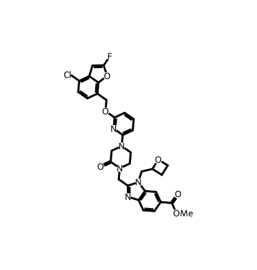 COC(=O)c1ccc2nc(CN3CCN(c4cccc(OCc5ccc(Cl)c6cc(F)oc56)n4)CC3=O)n(CC3CCO3)c2c1